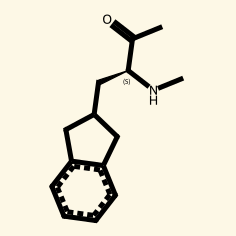 CN[C@@H](CC1Cc2ccccc2C1)C(C)=O